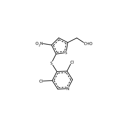 O=CCc1cc([N+](=O)[O-])c(Sc2c(Cl)cncc2Cl)s1